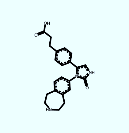 O=C(O)CCc1ccc(-c2c[nH]c(=O)n2-c2ccc3c(c2)CCNCC3)cc1